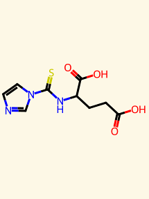 O=C(O)CCC(NC(=S)n1ccnc1)C(=O)O